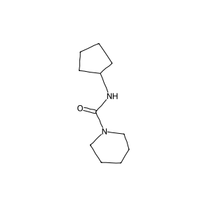 O=C(NC1CCCC1)N1CCCCC1